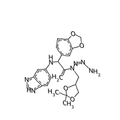 C=C(C(Nc1ccc2[nH]cnc2c1)c1ccc2c(c1)OCO2)N(CC1COC(C)(C)O1)/N=N\N